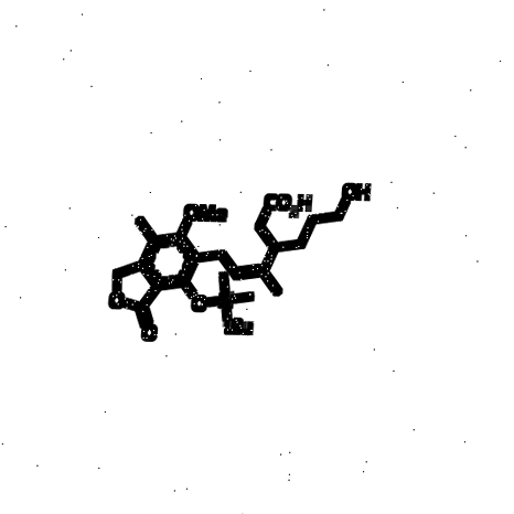 COc1c(C)c2c(c(O[Si](C)(C)C(C)(C)C)c1CC=C(C)C(CCCO)CC(=O)O)C(=O)OC2